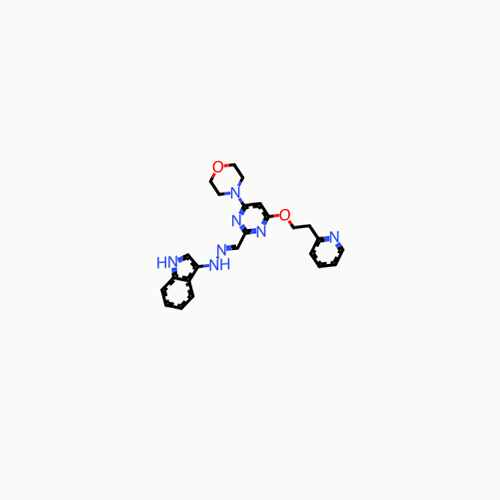 C(=N\Nc1c[nH]c2ccccc12)/c1nc(OCCc2ccccn2)cc(N2CCOCC2)n1